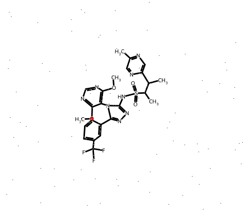 COc1ncnc(OC)c1-n1c(NS(=O)(=O)C(C)C(C)c2cnc(C)cn2)nnc1-c1cccc(C(F)(F)F)c1